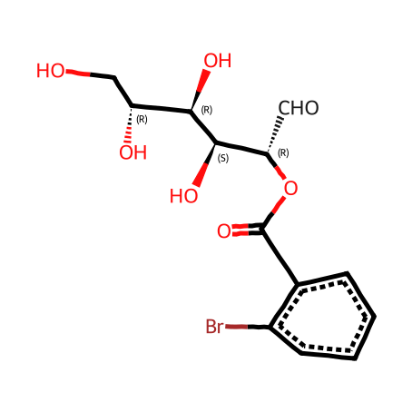 O=C[C@H](OC(=O)c1ccccc1Br)[C@@H](O)[C@H](O)[C@H](O)CO